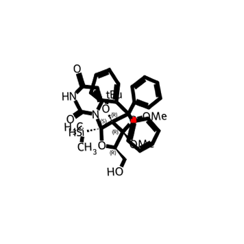 COO[C@]1(OC)[C@@H](CO)O[C@](n2ccc(=O)[nH]c2=O)([SiH](C)C)[C@@]1(OC(C)(C)C)C(c1ccccc1)(c1ccccc1)c1ccccc1